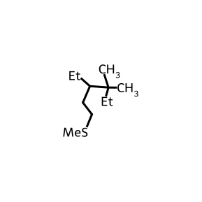 CCC(CCSC)C(C)(C)CC